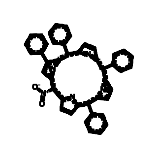 O=[N+]([O-])c1c2nc(c(-c3ccccc3)c3ccc([nH]3)c(-c3ccccc3)c3nc(c(-c4ccccc4)c4[nH]c1cc4-c1ccccc1)C=C3)C=C2